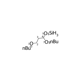 CCCCOCCC(O[SiH3])OCCCC